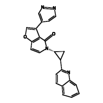 O=c1c2c(-c3ccnnc3)coc2ccn1[C@@H]1CC1c1ccc2ccccc2n1